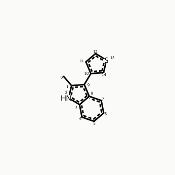 Cc1[nH]c2ccccc2c1-c1ccsc1